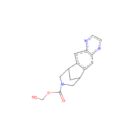 O=C(OCO)N1CC2CC(C1)c1cc3nccnc3cc12